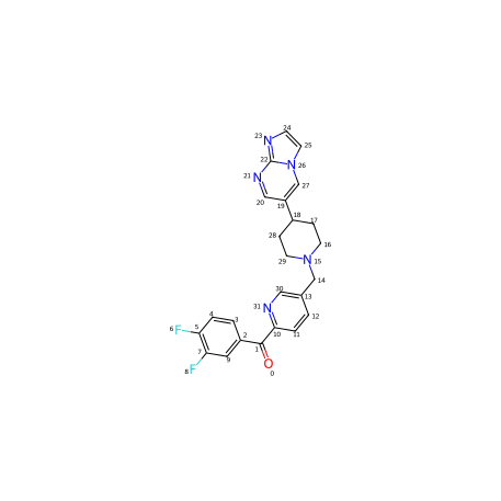 O=C(c1ccc(F)c(F)c1)c1ccc(CN2CCC(c3cnc4nccn4c3)CC2)cn1